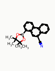 CC1(C)OB(c2cccc3c2cc(C#N)c2ccccc23)OC1(C)C